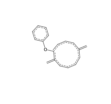 C=c1ccccc(=C)c(Oc2ccccc2)ccc1